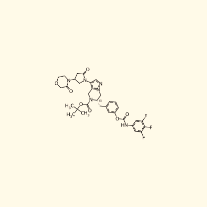 CC(C)(C)OC(=O)N1Cc2c(N3CC(N4CCOCC4=O)CC3=O)cnn2C[C@@H]1Cc1cccc(OC(=O)Nc2cc(F)c(F)c(F)c2)c1